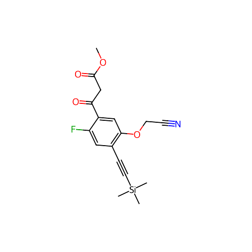 COC(=O)CC(=O)c1cc(OCC#N)c(C#C[Si](C)(C)C)cc1F